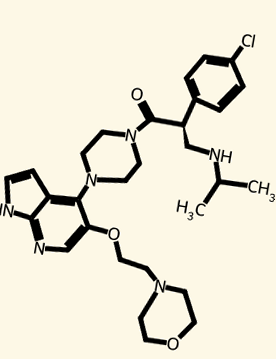 CC(C)NC[C@@H](C(=O)N1CCN(c2c(OCCN3CCOCC3)cnc3[nH]ccc23)CC1)c1ccc(Cl)cc1